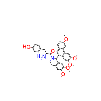 COc1ccc2cc(C3c4cc(OC)c(OC)cc4CCN3C(=O)C(N)Cc3ccc(O)cc3)c3cc(OC)c(OC)cc3c2c1